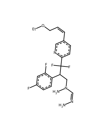 CCOC/C=C\c1ccc(C(F)(F)C(CN(N)/C=N\N)c2ccc(F)cc2F)nc1